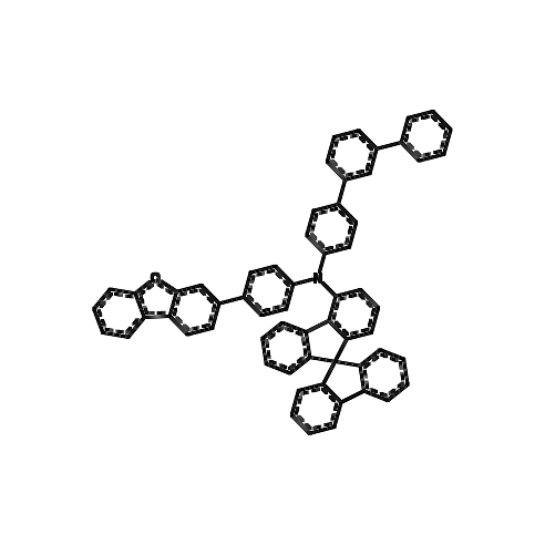 c1ccc(-c2cccc(-c3ccc(N(c4ccc(-c5ccc6c(c5)oc5ccccc56)cc4)c4cccc5c4-c4ccccc4C54c5ccccc5-c5ccccc54)cc3)c2)cc1